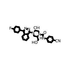 Cl.N#Cc1ccc(NC(=O)N2CCN(c3nnc(-c4ccc(F)cc4)c4ccccc34)CC2CO)cc1